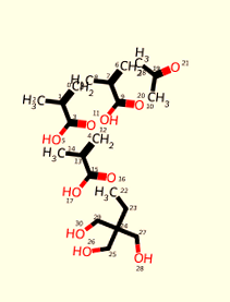 C=C(C)C(=O)O.C=C(C)C(=O)O.C=C(C)C(=O)O.CC(C)=O.CCC(CO)(CO)CO